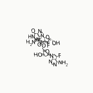 Nc1nc2c(ncn2C2O[C@H](CO)[C@@H](F)[C@H]2P(=O)(S)OC[C@H]2O[C@@H](n3cc(F)c4c(N)ncnc43)C[C@@H]2O)c(=O)[nH]1